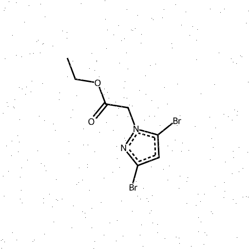 CCOC(=O)Cn1nc(Br)cc1Br